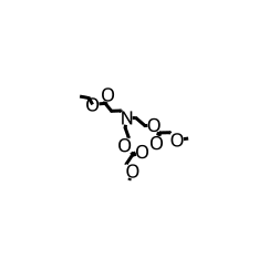 CCOC(=O)CCN(CCOC(=O)COC)CCOC(=O)COC